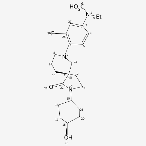 CCN(C(=O)O)c1ccc(N2CCC[C@]3(CCN([C@H]4CC[C@H](O)CC4)C3=O)C2)c(F)c1